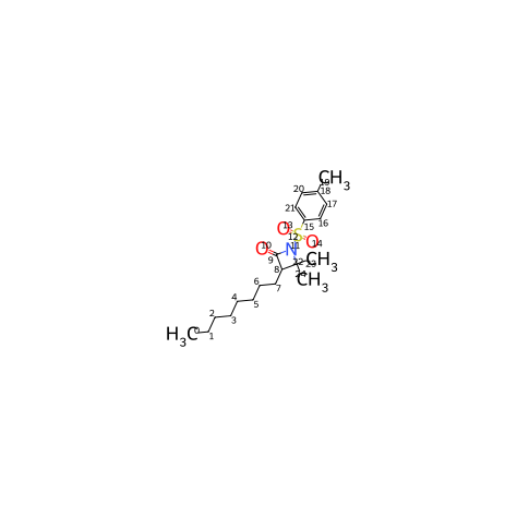 CCCCCCCCC1C(=O)N(S(=O)(=O)c2ccc(C)cc2)C1(C)C